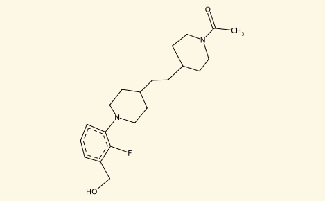 CC(=O)N1CCC(CCC2CCN(c3cccc(CO)c3F)CC2)CC1